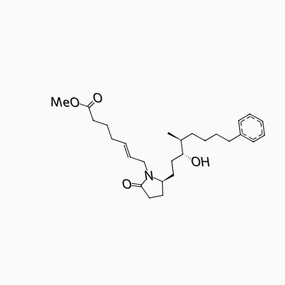 COC(=O)CCCC=CCN1C(=O)CC[C@@H]1CC[C@@H](O)[C@@H](C)CCCCc1ccccc1